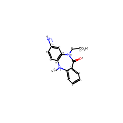 CCCN1c2ccccc2C(=O)N(CC(=O)O)c2cc(N)ccc21